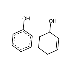 OC1C=CCCC1.Oc1ccccc1